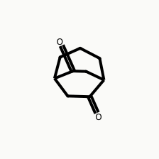 O=C1CC2CCCC1CC2=O